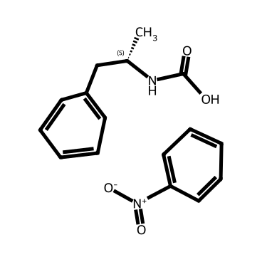 C[C@@H](Cc1ccccc1)NC(=O)O.O=[N+]([O-])c1ccccc1